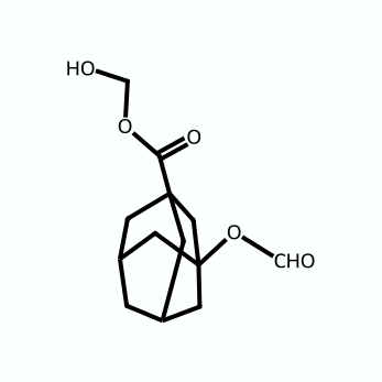 O=COC12CC3CC(C1)CC(C(=O)OCO)(C3)C2